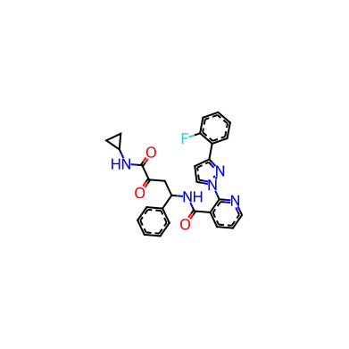 O=C(CC(NC(=O)c1cccnc1-n1ccc(-c2ccccc2F)n1)c1ccccc1)C(=O)NC1CC1